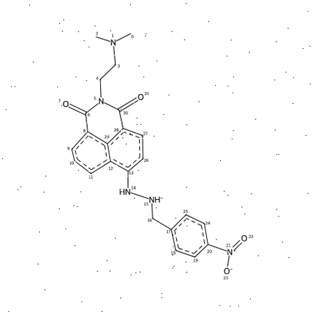 CN(C)CCN1C(=O)c2cccc3c(NNCc4ccc([N+](=O)[O-])cc4)ccc(c23)C1=O